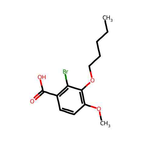 CCCCCOc1c(OC)ccc(C(=O)O)c1Br